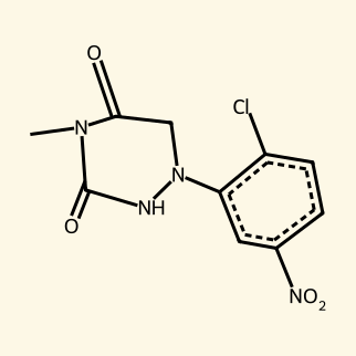 CN1C(=O)CN(c2cc([N+](=O)[O-])ccc2Cl)NC1=O